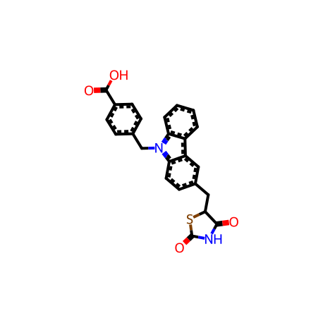 O=C1NC(=O)C(Cc2ccc3c(c2)c2ccccc2n3Cc2ccc(C(=O)O)cc2)S1